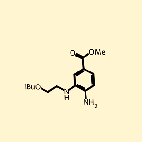 COC(=O)c1ccc(N)c(NCCOCC(C)C)c1